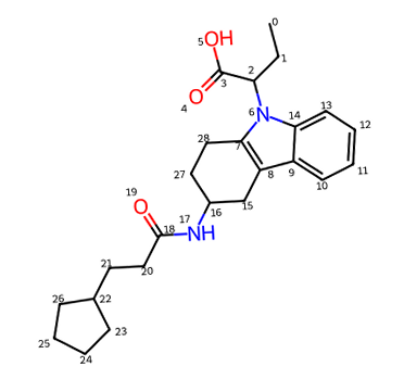 CCC(C(=O)O)n1c2c(c3ccccc31)CC(NC(=O)CCC1CCCC1)CC2